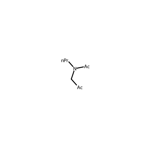 [CH2]C(=O)CN(CCC)C(C)=O